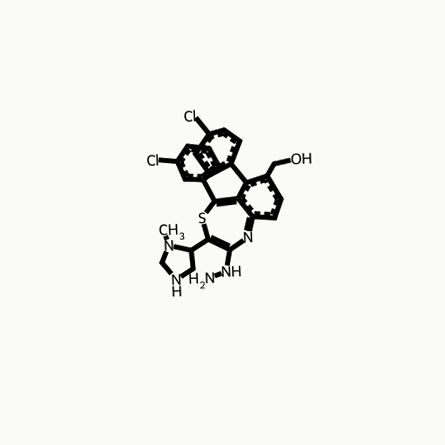 CN1CNCC1C1=C(NN)N=c2ccc(CO)c(-c3ccc(Cl)cc3)c2=C(c2cccc(Cl)c2)S1